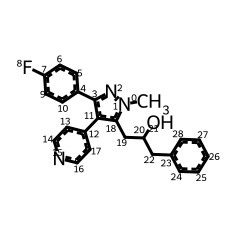 Cn1nc(-c2ccc(F)cc2)c(-c2ccncc2)c1CC(O)Cc1ccccc1